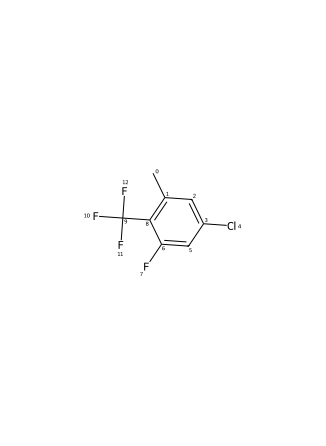 Cc1cc(Cl)cc(F)c1C(F)(F)F